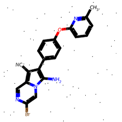 Cc1cccc(Oc2ccc(-c3c(C#N)c4cnc(Br)cn4c3N)cc2)n1